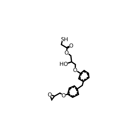 O=C(CS)OCC(O)COc1cccc(Cc2ccc(OCC3CO3)cc2)c1